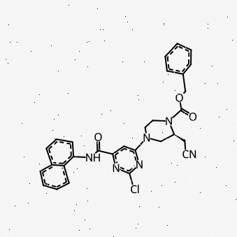 N#CC[C@H]1CN(c2cc(C(=O)Nc3cccc4ccccc34)nc(Cl)n2)CCN1C(=O)OCc1ccccc1